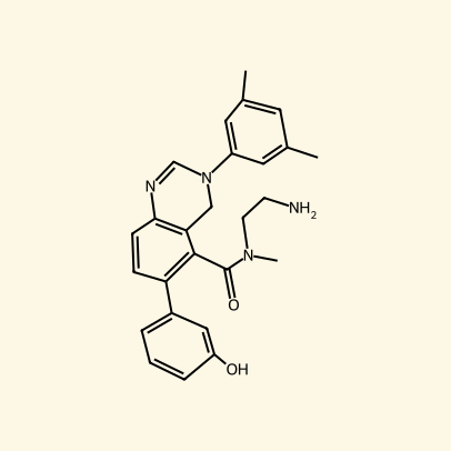 Cc1cc(C)cc(N2C=Nc3ccc(-c4cccc(O)c4)c(C(=O)N(C)CCN)c3C2)c1